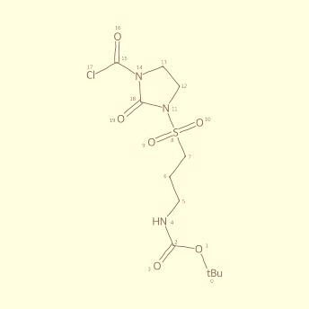 CC(C)(C)OC(=O)NCCCS(=O)(=O)N1CCN(C(=O)Cl)C1=O